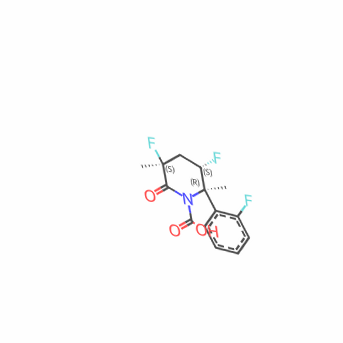 C[C@]1(F)C[C@H](F)[C@@](C)(c2ccccc2F)N(C(=O)O)C1=O